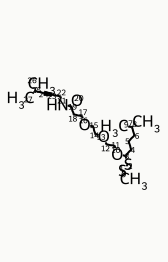 CSSC(CCCC(C)C)OCCOCCOCCC(=O)NCC#CC(C)C